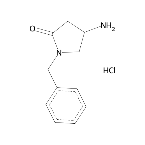 Cl.NC1CC(=O)N(Cc2ccccc2)C1